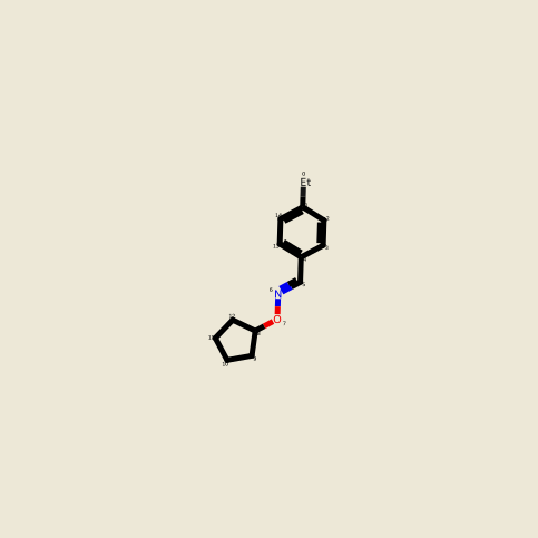 CCc1ccc(/[C]=N/OC2CCCC2)cc1